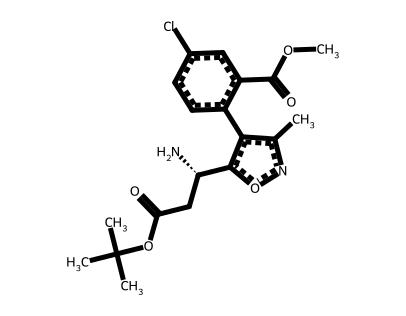 COC(=O)c1cc(Cl)ccc1-c1c(C)noc1[C@@H](N)CC(=O)OC(C)(C)C